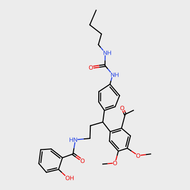 CCCCNC(=O)Nc1ccc(C(CCNC(=O)c2ccccc2O)c2cc(OC)c(OC)cc2C(C)=O)cc1